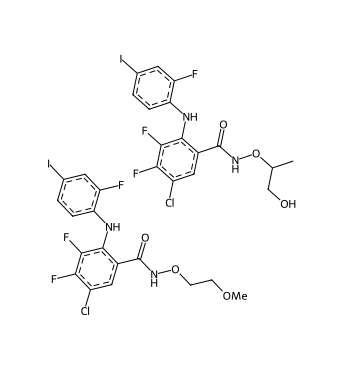 CC(CO)ONC(=O)c1cc(Cl)c(F)c(F)c1Nc1ccc(I)cc1F.COCCONC(=O)c1cc(Cl)c(F)c(F)c1Nc1ccc(I)cc1F